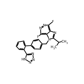 CC(C)c1nc2c(F)nnc(F)c2n1Cc1ccc(-c2ccccc2-c2nnn[nH]2)cc1